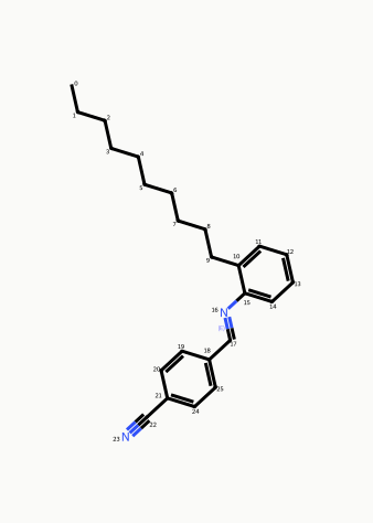 CCCCCCCCCCc1ccccc1/N=C/c1ccc(C#N)cc1